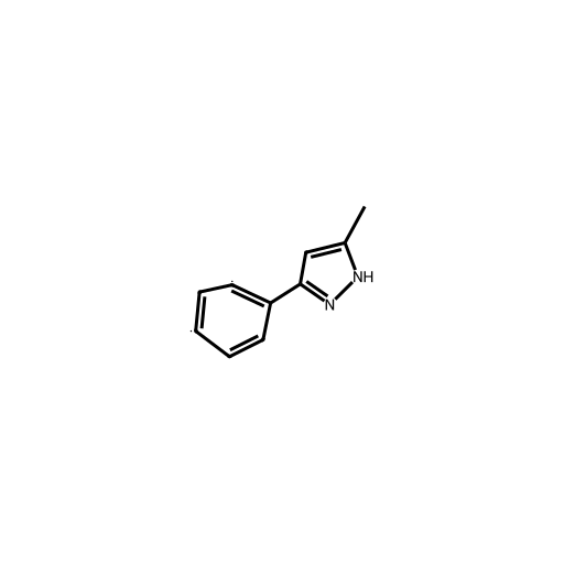 Cc1cc(-c2[c]c[c]cc2)n[nH]1